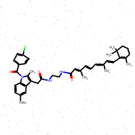 COc1ccc2c(c1)c(CC(=O)NCCNC(=O)/C=C(C)/C=C/C=C(C)/C=C/C1=C(C)CCCC1(C)C)c(C)n2C(=O)c1ccc(Cl)cc1